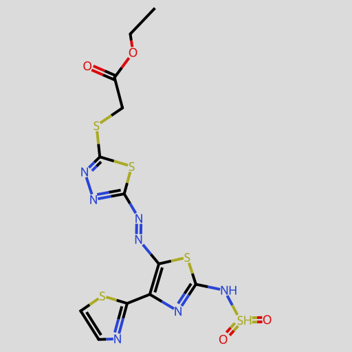 CCOC(=O)CSc1nnc(/N=N/c2sc(N[SH](=O)=O)nc2-c2nccs2)s1